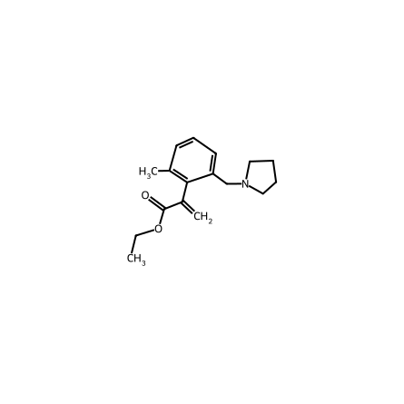 C=C(C(=O)OCC)c1c(C)cccc1CN1CCCC1